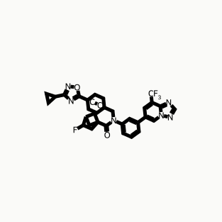 O=C(N(CC12CCC(c3nc(C4CC4)no3)(CC1)CC2)c1cccc(-c2cc(C(F)(F)F)c3ncnn3c2)c1)C12CC(F)C(C1)C2